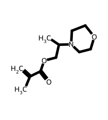 C=C(C)C(=O)OCC(C)N1CCOCC1